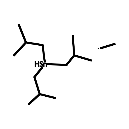 CC(C)[CH2][SnH]([CH2]C(C)C)[CH2]C(C)C.[CH2]C